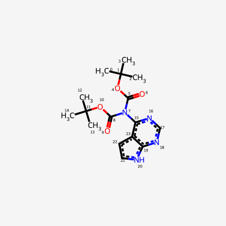 CC(C)(C)OC(=O)N(C(=O)OC(C)(C)C)c1ncnc2[nH]ccc12